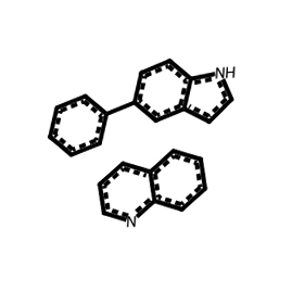 c1ccc(-c2ccc3[nH]ccc3c2)cc1.c1ccc2ncccc2c1